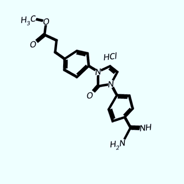 COC(=O)CCc1ccc(-n2ccn(-c3ccc(C(=N)N)cc3)c2=O)cc1.Cl